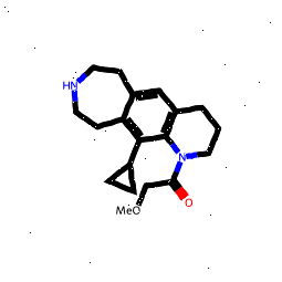 COCC(=O)N1CCCc2cc3c(c(C4CC4)c21)CCNCC3